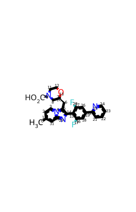 Cc1ccn2c(C[C@H]3CN(C(=O)O)CCO3)c(-c3c(F)cc(-c4ccccn4)cc3F)nc2c1